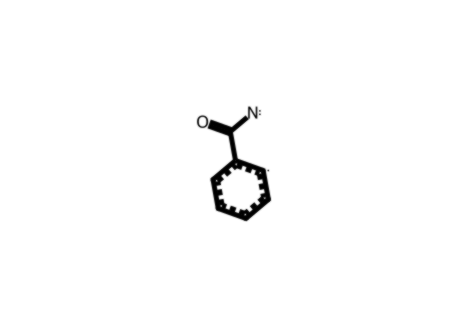 [N]C(=O)c1[c]cccc1